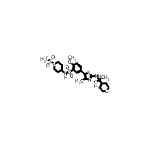 COc1ccc(-c2sc(NC(C)(C)C3CCOCC3)nc2C)cc1S(=O)(=O)NC1CCN(S(C)(=O)=O)CC1